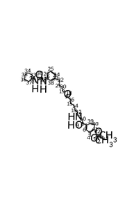 CC1(C)OCc2cc([C@@H](O)CNCCCCCCOCCCCc3cccc(NC(=O)NC4CCCCC4)c3)ccc2O1